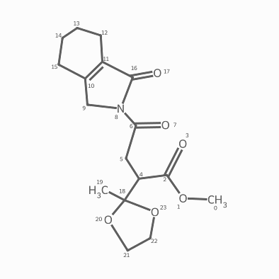 COC(=O)C(CC(=O)N1CC2=C(CCCC2)C1=O)C1(C)OCCO1